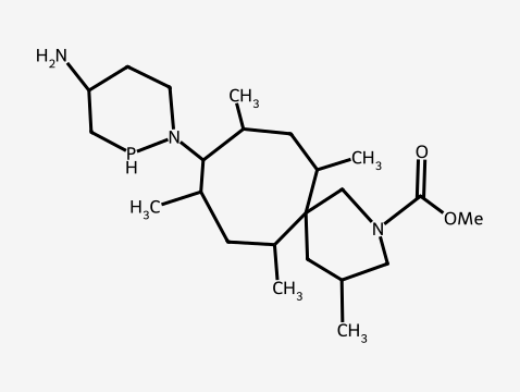 COC(=O)N1CC(C)CC2(C1)C(C)CC(C)C(N1CCC(N)CP1)C(C)CC2C